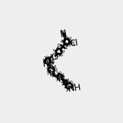 CC(C)(c1ccc(OCc2ccnc(N3CCN(CC4CCN(C5CC6(CCNCC6)C5)C4)CC3)n2)cc1)c1cc(Cl)cc(C#N)c1